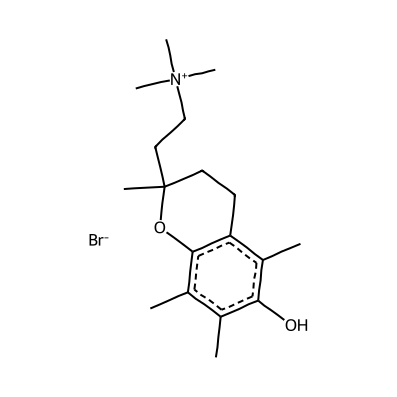 Cc1c(C)c2c(c(C)c1O)CCC(C)(CC[N+](C)(C)C)O2.[Br-]